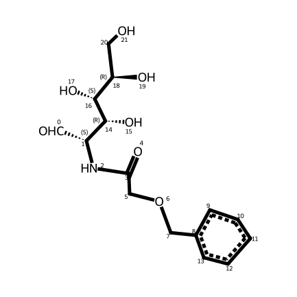 O=C[C@@H](NC(=O)COCc1ccccc1)[C@@H](O)[C@H](O)[C@H](O)CO